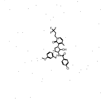 COc1ccc([C@@H]2CN(c3c(C)ccn(CCC(F)(F)F)c3=O)C(O)C2NC(=O)c2ccc(Cl)cc2)c(F)c1